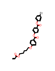 C=CC(=O)OCCCCCOc1ccc(C(=O)Oc2ccc(C(=O)Oc3ccc(CC)cc3)cc2)cc1